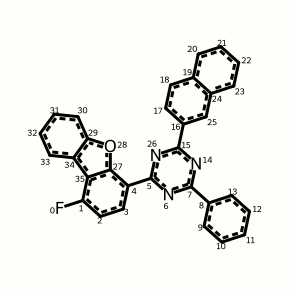 Fc1ccc(-c2nc(-c3ccccc3)nc(-c3ccc4ccccc4c3)n2)c2oc3ccccc3c12